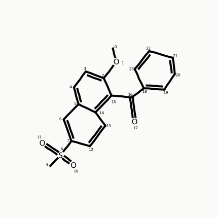 COc1ccc2cc(S(C)(=O)=O)ccc2c1C(=O)c1ccccc1